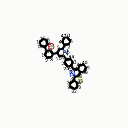 c1ccc(-c2cc(-c3cccc4c3oc3ccccc34)cc(-c3ccc(-c4nc5c6ccccc6sc5c5ccccc45)cc3)n2)cc1